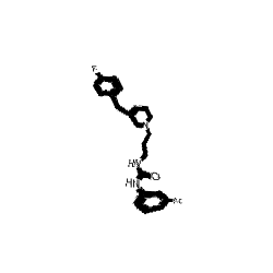 CC(=O)c1cccc(NC(=O)NCCCN2CCCC(Cc3ccc(F)cc3)C2)c1